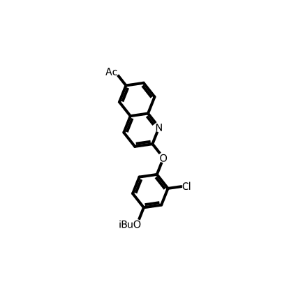 CC(=O)c1ccc2nc(Oc3ccc(OCC(C)C)cc3Cl)ccc2c1